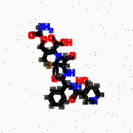 NC(=O)OCC1=C(C(=O)O)N2C(=O)C(NC(=O)C(NC(=O)c3cnccc3O)c3ccccc3)[C@@H]2SC1